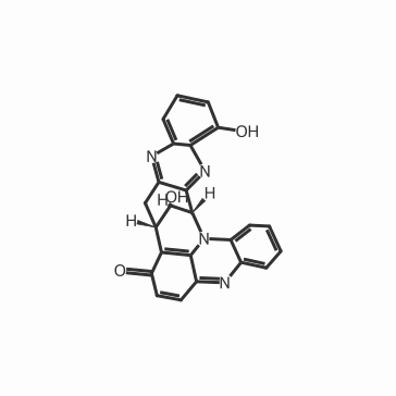 O=c1ccc2nc3ccccc3n3c-2c1[C@@H]1Cc2nc4cccc(O)c4nc2[C@H]3[C@H]1O